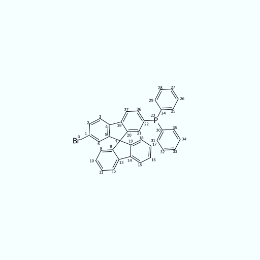 Brc1ccc2c(c1)C1(c3ccccc3-c3ccccc31)c1cc(P(c3ccccc3)c3ccccc3)ccc1-2